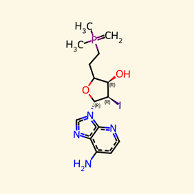 C=P(C)(C)CCC1O[C@@H](n2cnc3c(N)ccnc32)[C@H](I)[C@@H]1O